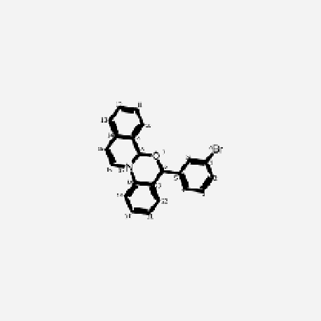 Brc1cccc(C2OC3c4ccccc4C=CN3c3ccccc32)c1